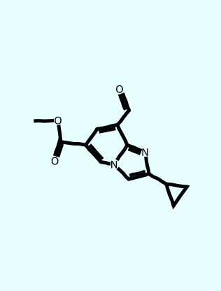 COC(=O)c1cc(C=O)c2nc(C3CC3)cn2c1